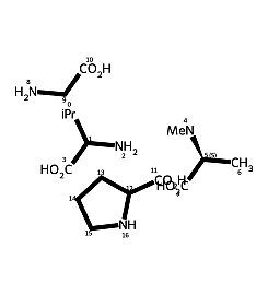 CC(C)C(N)C(=O)O.CN[C@@H](C)C(=O)O.NCC(=O)O.O=C(O)C1CCCN1